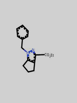 CCOC(=O)c1nn(Cc2ccccc2)c2c1CCC2